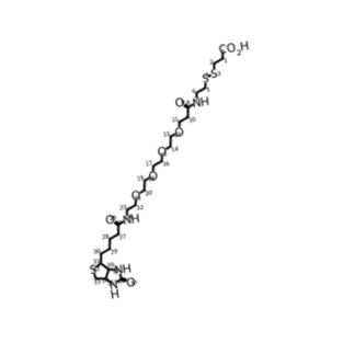 O=C(O)CCSSCCNC(=O)CCOCCOCCOCCOCCNC(=O)CCCCC1SCC2NC(=O)NC21